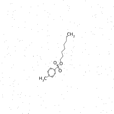 C=CCCCCCCOS(=O)(=O)c1ccc(C)cc1